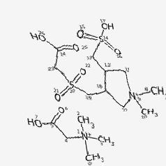 C[N+](C)(C)CC(=O)O.C[N+]1(C)CC(CS(=O)(=O)O)C(CS(=O)(=O)CC(=O)O)C1